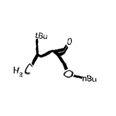 CCCCOC(=O)C(C)C(C)(C)C